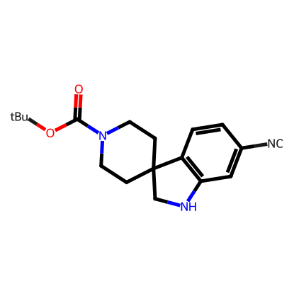 [C-]#[N+]c1ccc2c(c1)NCC21CCN(C(=O)OC(C)(C)C)CC1